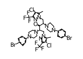 Cc1c(Cl)c(C(F)(F)F)nn1CC(C(=O)C(Cn1nc(C(F)(F)F)c(Cl)c1C)N1CCN(c2ccc(Br)cc2)CC1)N1CCN(c2ccc(Br)cc2)CC1